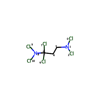 ClN(Cl)CCC(Cl)(Cl)N(Cl)Cl